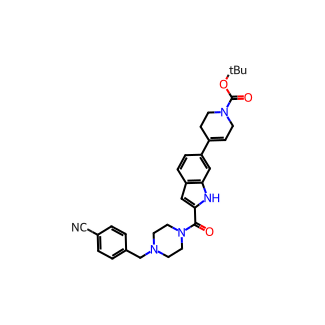 CC(C)(C)OC(=O)N1CC=C(c2ccc3cc(C(=O)N4CCN(Cc5ccc(C#N)cc5)CC4)[nH]c3c2)CC1